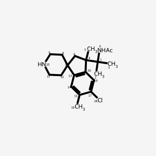 CC(=O)NC(C)(C)C1(C)CC2(CCNCC2)c2cc(C)c(Cl)cc21